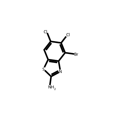 Nc1nc2c(Br)c(Cl)c(Cl)cc2s1